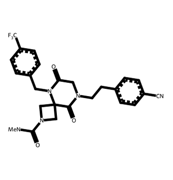 CNC(=O)N1CC2(C1)C(=O)N(CCc1ccc(C#N)cc1)CC(=O)N2Cc1ccc(C(F)(F)F)cc1